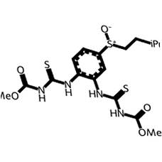 COC(=O)NC(=S)Nc1ccc([S+]([O-])CCC(C)C)cc1NC(=S)NC(=O)OC